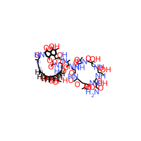 CO[C@H]1/C=C/O[C@@]2(C)Oc3c(C)c(O)c4c(O)c(cc(OCC(=O)NCCNC(C)C(=O)NCC5NC(=O)C(C(C)=O)NC(=O)C(O)CNC(=O)C(C(C)O)NC(=O)C(C(O)C(O)C(N)=O)NC(=O)C(C(C)C)CC(=O)C(CO)NC5=O)c4c3C2=O)NC(=O)/C(C)=C\C=C\[C@H](C)[C@H](O)[C@@H](C)[C@@H](O)[C@@H](C)[C@H](OC(C)=O)[C@@H]1C